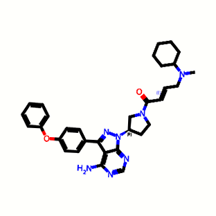 CN(C/C=C/C(=O)N1CC[C@@H](n2nc(-c3ccc(Oc4ccccc4)cc3)c3c(N)ncnc32)C1)C1CCCCC1